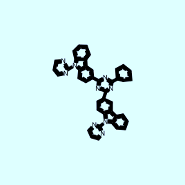 c1ccc(-c2nc(-c3ccc4c(c3)c3ccccc3n4-c3ncccn3)nc(-c3ccc4c(c3)c3ccccc3n4-c3ncccn3)n2)cc1